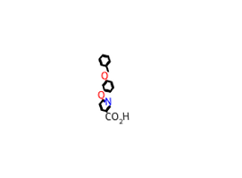 O=C(O)c1ccc(Oc2cccc(OCc3ccccc3)c2)nc1